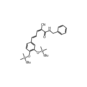 CC(C)(C)[Si](C)(C)Oc1ccc(C=CC=C(C#N)C(=O)NCc2ccccc2)cc1O[Si](C)(C)C(C)(C)C